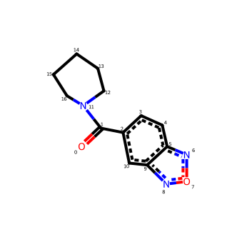 O=C(c1ccc2nonc2c1)N1CCCCC1